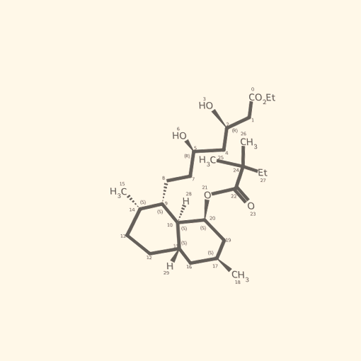 CCOC(=O)C[C@H](O)C[C@H](O)CC[C@@H]1[C@@H]2[C@@H](CC[C@@H]1C)C[C@H](C)C[C@@H]2OC(=O)C(C)(C)CC